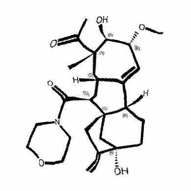 C=C1C[C@]23C[C@@]1(O)CC[C@H]2C1=C[C@@H](OC)[C@H](O)[C@@](C)(C(C)=O)[C@H]1[C@@H]3C(=O)N1CCOCC1